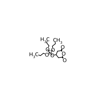 CCCO[Si](OCCC)(OCCC)OC1CC(=O)OC(=O)C1